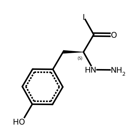 NN[C@@H](Cc1ccc(O)cc1)C(=O)I